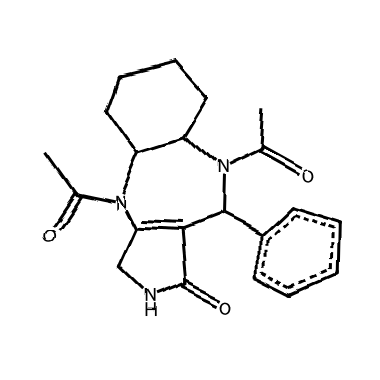 CC(=O)N1C2=C(C(=O)NC2)C(c2ccccc2)N(C(C)=O)C2CCCCC21